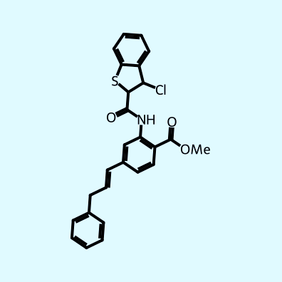 COC(=O)c1ccc(/C=C/Cc2ccccc2)cc1NC(=O)C1Sc2ccccc2C1Cl